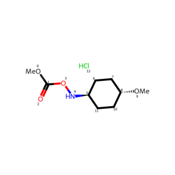 COC(=O)ON[C@H]1CC[C@H](OC)CC1.Cl